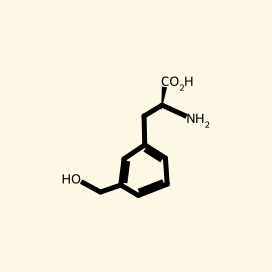 N[C@@H](Cc1cccc(CO)c1)C(=O)O